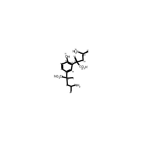 CC(N)CC(C)(C(=O)O)c1ccc(O)c(C(C)(CC(C)N)C(=O)O)c1